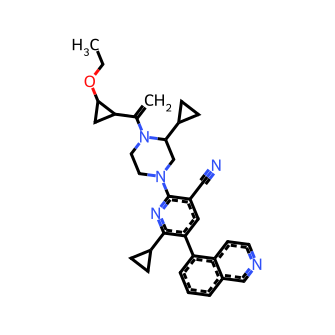 C=C(C1CC1OCC)N1CCN(c2nc(C3CC3)c(-c3cccc4cnccc34)cc2C#N)CC1C1CC1